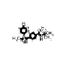 Cc1nnc(-c2ccc(C(=O)NC(C)(C)C)cc2)n1-c1ccc(Cl)cc1